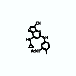 CC(=O)Nc1cc(Nc2cc(NC3CC3)c3ncc(C#N)n3n2)ccc1C